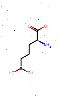 N[C@@H](CCCB(O)O)C(=O)O